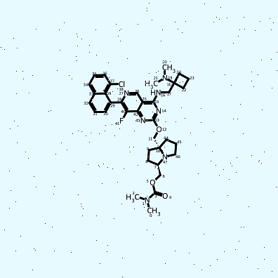 CN(C)C(=O)OC[C@H]1CC[C@@]2(COc3nc(NCC4(N(C)C)CCC4)c4cnc(-c5cccc6cccc(Cl)c56)c(F)c4n3)CCCN12